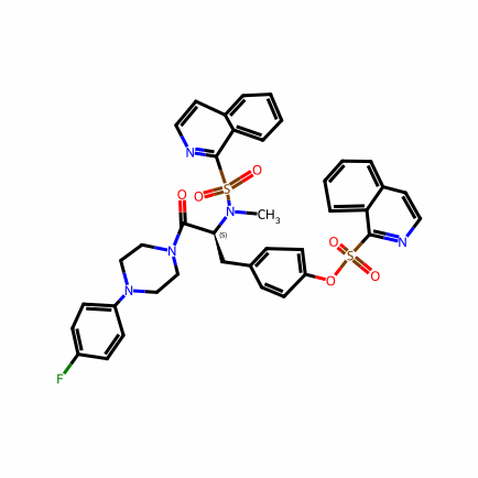 CN([C@@H](Cc1ccc(OS(=O)(=O)c2nccc3ccccc23)cc1)C(=O)N1CCN(c2ccc(F)cc2)CC1)S(=O)(=O)c1nccc2ccccc12